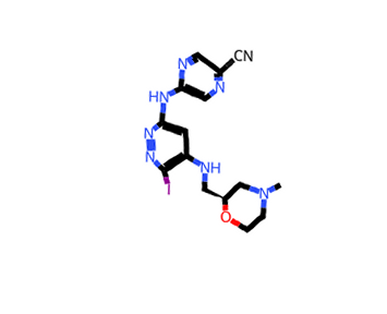 CN1CCO[C@@H](CNc2cc(Nc3cnc(C#N)cn3)nnc2I)C1